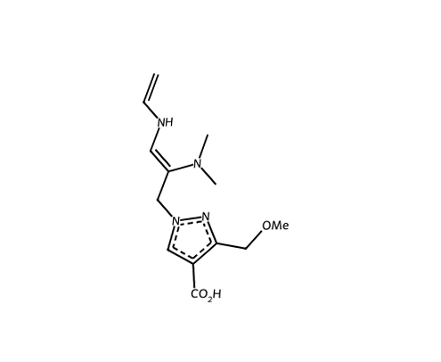 C=CN/C=C(/Cn1cc(C(=O)O)c(COC)n1)N(C)C